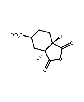 CCOC(=O)[C@H]1CC[C@@H]2C(=O)OC(=O)[C@H]2C1